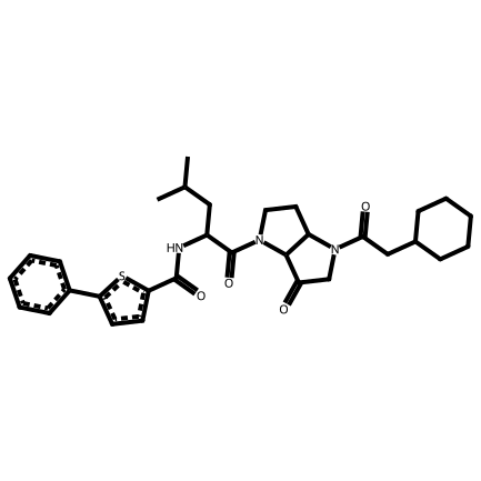 CC(C)CC(NC(=O)c1ccc(-c2ccccc2)s1)C(=O)N1CCC2C1C(=O)CN2C(=O)CC1CCCCC1